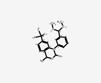 [2H]C1OC([2H])N(c2cccc(C(OC)OC)c2)c2cc(C(F)(F)F)ccc21